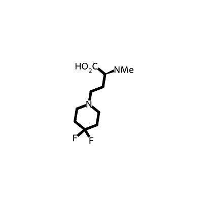 CN[C@@H](CCN1CCC(F)(F)CC1)C(=O)O